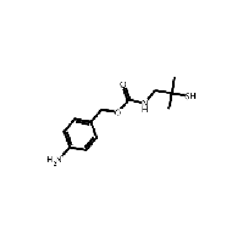 CC(C)(S)CNC(=O)OCc1ccc(N)cc1